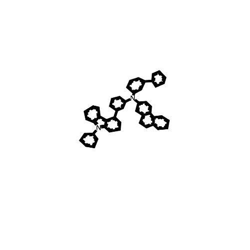 c1ccc(-c2cccc(N(c3cccc(-c4cccc5c4c4ccccc4n5-c4ccccc4)c3)c3ccc4c(ccc5ccccc54)c3)c2)cc1